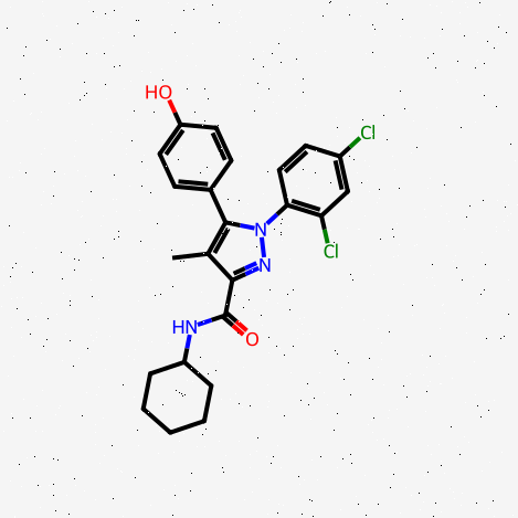 Cc1c(C(=O)NC2CCCCC2)nn(-c2ccc(Cl)cc2Cl)c1-c1ccc(O)cc1